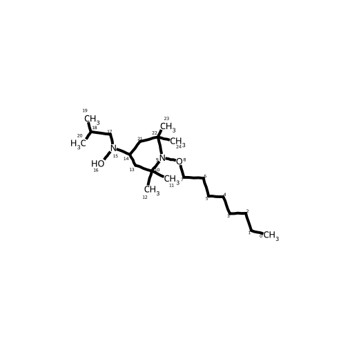 CCCCCCCCON1C(C)(C)CC(N(O)CC(C)C)CC1(C)C